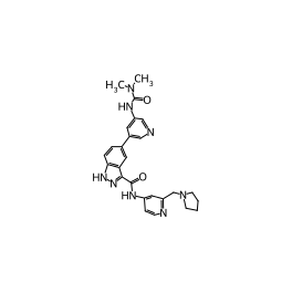 CN(C)C(=O)Nc1cncc(-c2ccc3[nH]nc(C(=O)Nc4ccnc(CN5CCCC5)c4)c3c2)c1